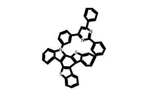 c1ccc(-c2cc(-c3cccc(-n4c5ccccc5c5c6sc7ccccc7c6c6c7ccccc7sc6c54)c3)nc(-c3ccccc3)n2)cc1